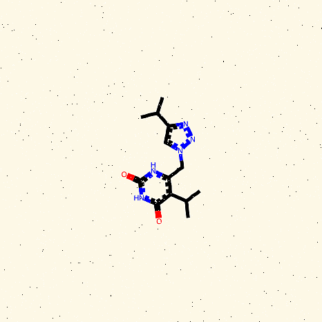 CC(C)c1cn(Cc2[nH]c(=O)[nH]c(=O)c2C(C)C)nn1